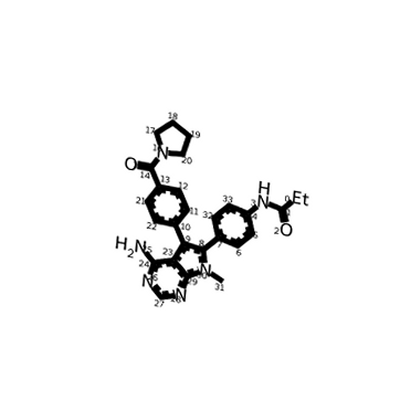 CCC(=O)Nc1ccc(-c2c(-c3ccc(C(=O)N4CCCC4)cc3)c3c(N)ncnc3n2C)cc1